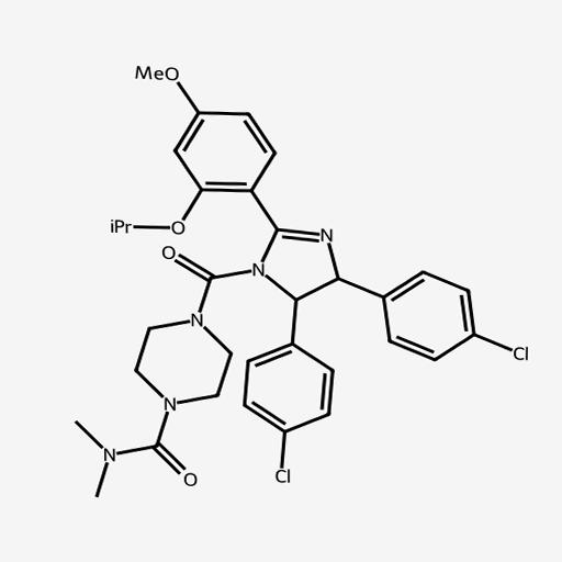 COc1ccc(C2=NC(c3ccc(Cl)cc3)C(c3ccc(Cl)cc3)N2C(=O)N2CCN(C(=O)N(C)C)CC2)c(OC(C)C)c1